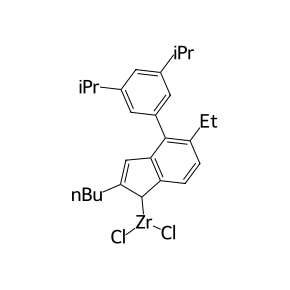 CCCCC1=Cc2c(ccc(CC)c2-c2cc(C(C)C)cc(C(C)C)c2)[CH]1[Zr]([Cl])[Cl]